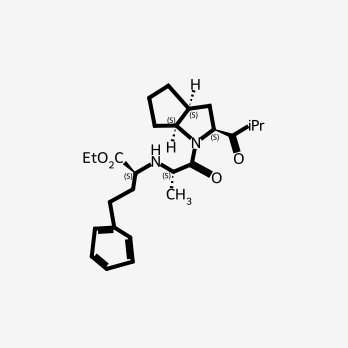 CCOC(=O)[C@H](CCc1ccccc1)N[C@@H](C)C(=O)N1[C@H](C(=O)C(C)C)C[C@@H]2CCC[C@@H]21